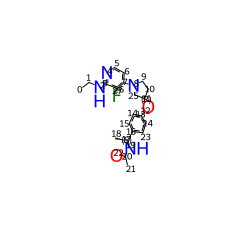 CCNc1nccc(N2CC[C@@H](Oc3ccc([C@H](C)NC(C)=O)cc3)C2)c1F